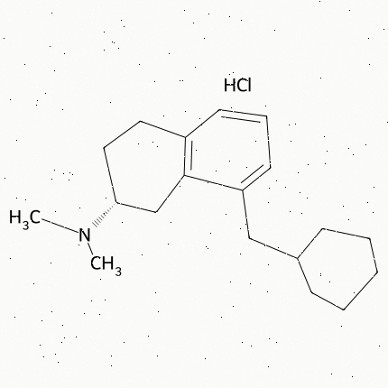 CN(C)[C@@H]1CCc2cccc(CC3CCCCC3)c2C1.Cl